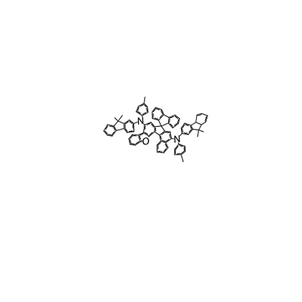 Cc1ccc(N(c2ccc3c(c2)C(C)(C)C2C=CC=CC32)c2cc3c(c4ccccc24)-c2c(cc(N(c4ccc(C)cc4)c4ccc5c(c4)C(C)(C)c4ccccc4-5)c4c2oc2ccccc24)C32c3ccccc3-c3ccccc32)cc1